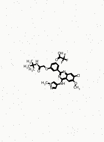 COc1cc2c(Nc3cnn(C)c3)nc(-c3cccc(OCC(=O)NC(C)(C)C)c3)nc2cc1Cl.O=C(O)C(F)(F)F